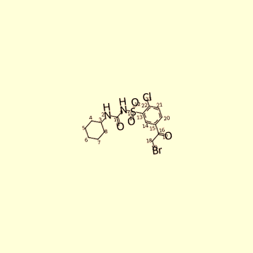 O=C(NC1CCCCC1)NS(=O)(=O)c1cc(C(=O)CBr)ccc1Cl